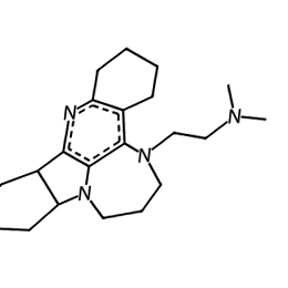 CN(C)CCN1CCCN2c3c(nc4c(c31)CCCC4)C1CCCCC12